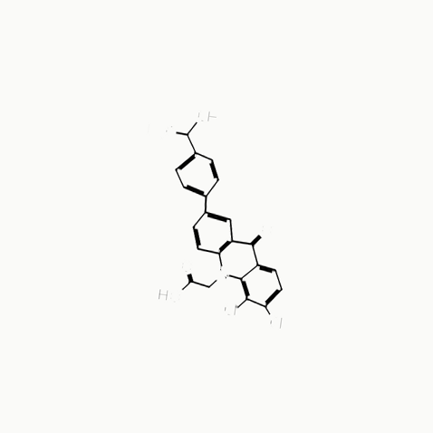 CC(C)c1ccc(-c2ccc3c(c2)c(=O)c2ccc(Cl)c(Cl)c2n3CC(=O)O)cc1